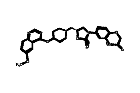 COc1ccc2ncnc(OC3CCN(C[C@@H]4CN(c5ccc6c(c5)NC(=O)CO6)C(=O)O4)CC3)c2c1